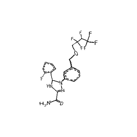 NC(=O)C1=NN(c2cccc(COCC(F)(F)C(F)C(F)(F)F)c2)C(c2ccccc2F)N1